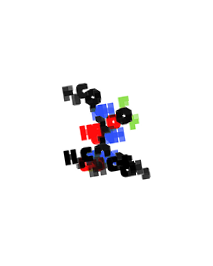 CC(C)S(=O)(=O)N(C)c1cc(C(=O)N[C@@H](COc2cc(F)cc(F)c2)[C@@H](O)CCNCc2cccc(C(F)(F)F)c2)cc(N(C)CC2C[C@@H]2C)n1